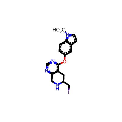 O=C(O)n1ccc2cc(Oc3ncnc4c3CC(CI)NC4)ccc21